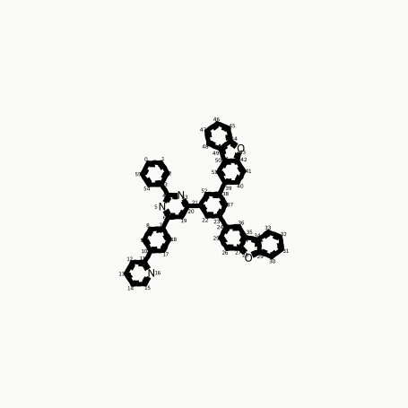 c1ccc(-c2nc(-c3ccc(-c4ccccn4)cc3)cc(-c3cc(-c4ccc5oc6ccccc6c5c4)cc(-c4ccc5oc6ccccc6c5c4)c3)n2)cc1